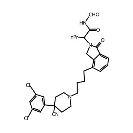 CCCC(C(=O)NC=O)N1Cc2c(CCCCN3CCC(C#N)(c4cc(Cl)cc(Cl)c4)CC3)cccc2C1=O